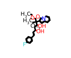 CCOC(=O)C(c1cc2ccccn2c1)(C(C)C)C(O)CC(O)C=Cc1ccc(F)cc1